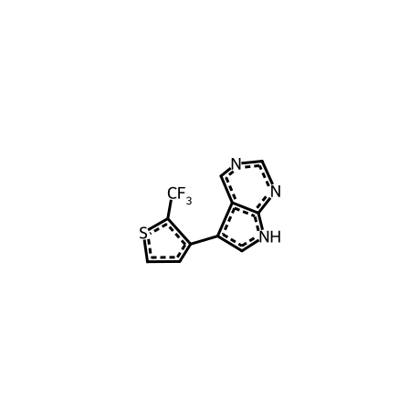 FC(F)(F)c1sccc1-c1c[nH]c2ncncc12